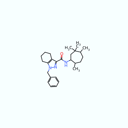 CC1CCC(C)C(C)(C)CC1NC(=O)c1nn(Cc2ccccc2)c2c1CCCC2